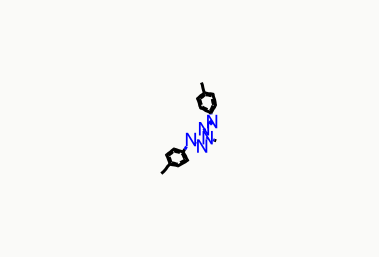 Cc1ccc(N=NN(C)N=Nc2ccc(C)cc2)cc1